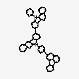 c1ccc(-n2c3ccc(-c4ccc5c(c4)c4cc6ccccc6cc4n5-c4ccc(-c5cc6c7c(cccc7c5)-c5ccccc5-6)cc4)cc3c3ccc4ccccc4c32)cc1